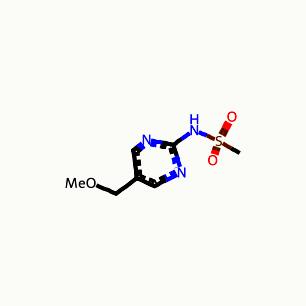 COCc1cnc(NS(C)(=O)=O)nc1